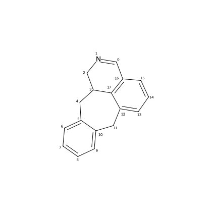 C1=NCC2Cc3ccccc3Cc3cccc1c32